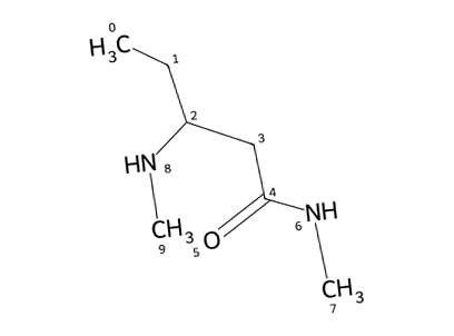 CCC(CC(=O)NC)NC